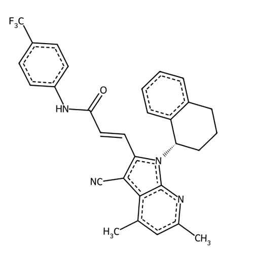 Cc1cc(C)c2c(C#N)c(/C=C/C(=O)Nc3ccc(C(F)(F)F)cc3)n([C@H]3CCCc4ccccc43)c2n1